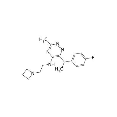 Cc1nnc(C(C)c2ccc(F)cc2)c(NCCN2CCC2)n1